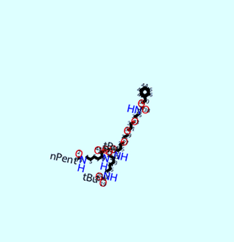 CCCCCC(=O)NCCCCC(NC(=O)C(CCCCNC(=O)OC(C)(C)C)NC(=O)CCOCCOCCOCCNC(=O)OCc1ccccc1)C(=O)OC(C)(C)C